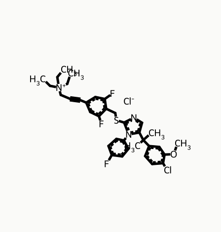 CC[N+](CC)(CC)CC#Cc1cc(F)c(CSc2ncc(C(C)(C)c3ccc(Cl)c(OC)c3)n2-c2ccc(F)cc2)c(F)c1.[Cl-]